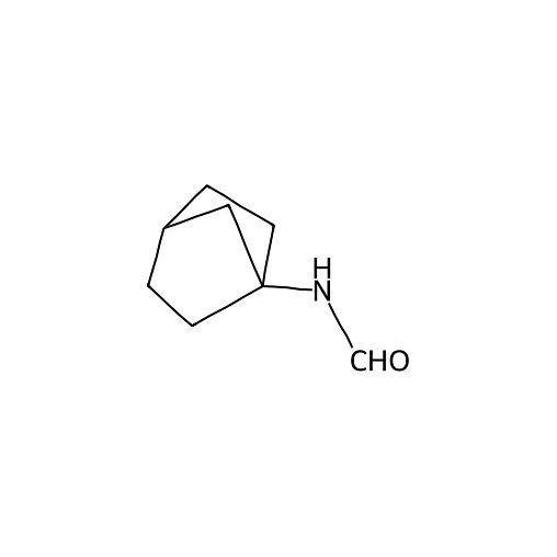 O=CNC12CCC(CC1)C2